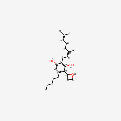 CCCCCc1cc(O)c(CC=C(C)CCC=C(C)C)c(O)c1C1CCO1